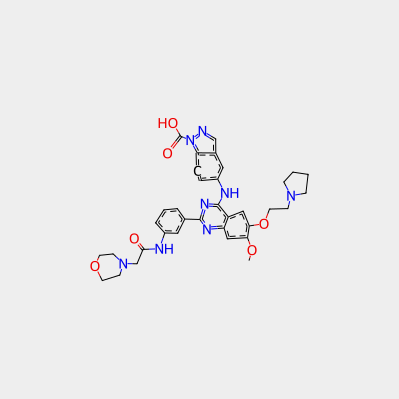 COc1cc2nc(-c3cccc(NC(=O)CN4CCOCC4)c3)nc(Nc3ccc4c(cnn4C(=O)O)c3)c2cc1OCCN1CCCC1